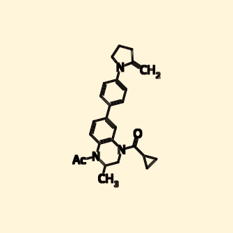 C=C1CCCN1c1ccc(-c2ccc3c(c2)N(C(=O)C2CC2)CC(C)N3C(C)=O)cc1